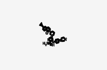 CN1CCN(c2ccc(Nc3cc(N4CCC[C@@H](n5ccc6cc(C7CC7)ccc6c5=O)C4)cnc3C(N)=O)cc2)CC1